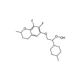 CC1CCC(C(COc2cc3c(c(F)c2F)OC(C)CC3)OO)CC1